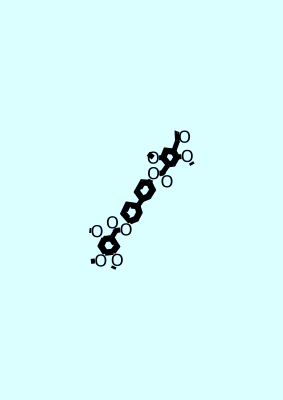 COc1cc(OC)c(C(=O)Oc2ccc(-c3ccc(OC(=O)c4cc(OC)c(C5CO5)cc4OC)cc3)cc2)cc1OC